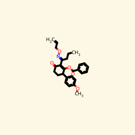 C=CCON=C(CCC)C1=C(OC(=O)c2ccccc2)C(c2ccc(OC)cc2)CCC1=O